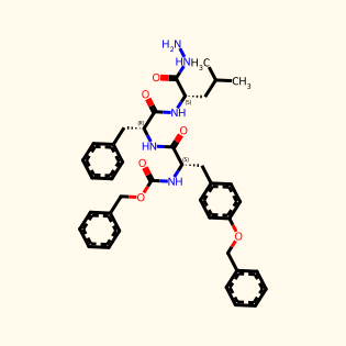 CC(C)C[C@H](NC(=O)[C@@H](Cc1ccccc1)NC(=O)[C@H](Cc1ccc(OCc2ccccc2)cc1)NC(=O)OCc1ccccc1)C(=O)NN